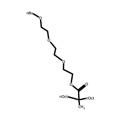 CCCCCCCCC(C)(CCCCCCCC)C(=O)OCCOCCOCCOCCCC